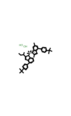 CCC(C)C1=Cc2c(-c3ccc(C(C)(C)C)cc3)cccc2[CH]1[Zr]([CH3])([CH3])(=[SiH2])[CH]1C(C)=Cc2c(-c3ccc(C(C)(C)C)cc3)cc(C)cc21.Cl.Cl